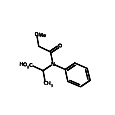 COCC(=O)N(c1ccccc1)C(C)C(=O)O